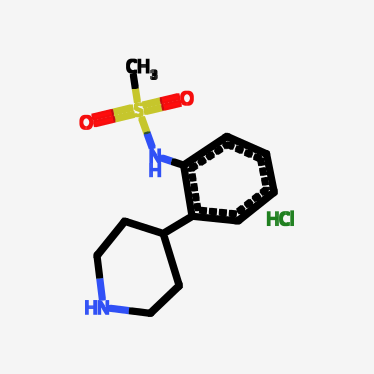 CS(=O)(=O)Nc1ccccc1C1CCNCC1.Cl